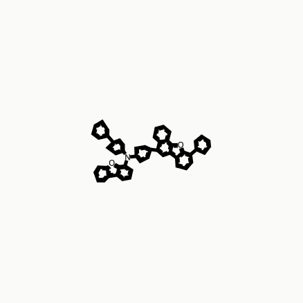 c1ccc(-c2ccc(N(c3ccc(-c4cc5c6cccc(-c7ccccc7)c6oc5c5ccccc45)cc3)c3cccc4c3oc3ccccc34)cc2)cc1